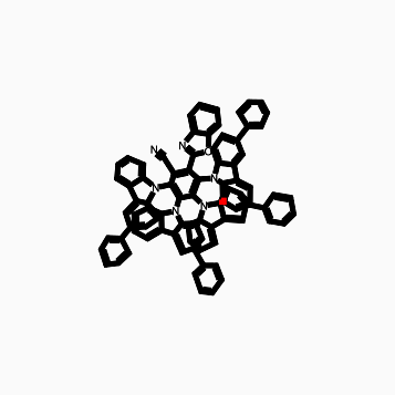 N#Cc1c(-c2nc3ccccc3o2)c(-n2c3ccccc3c3cc(-c4ccccc4)ccc32)c(-n2c3ccccc3c3cc(-c4ccccc4)ccc32)c(-n2c3ccccc3c3cc(-c4ccccc4)ccc32)c1-n1c2ccccc2c2cc(-c3ccccc3)ccc21